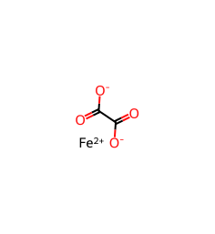 O=C([O-])C(=O)[O-].[Fe+2]